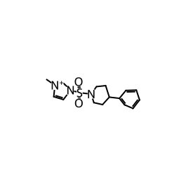 C[n+]1ccn(S(=O)(=O)N2CCC(c3ccccc3)CC2)c1